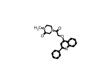 CN1CCN(C(=O)COc2cc(-c3ccccc3)nc3ccccc23)CC1=O